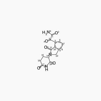 NC(=O)C(=O)c1cccc2c1C(=O)N(C1CCC(=O)NC1=O)C2